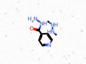 CNNC.NNC(=O)c1ccncc1